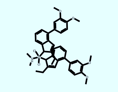 CCC1=Cc2c(-c3ccc(OC)c(OC)c3)cccc2[CH]1[Zr]([Cl])([Cl])([CH]1C(CC)=Cc2c(-c3ccc(OC)c(OC)c3)cccc21)[SiH](C)C